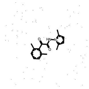 Cc1cccc(C)c1C(=O)C(=O)Nn1c(C)ccc1C